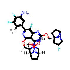 C[C@@H]1Oc2nc(-c3cc(N)c(F)c(F)c3C(F)(F)F)c(F)c3nc(OC[C@@]45CCCN4C[C@H](F)C5)nc(c23)N2C[C@H]3CC[C@@H]([C@@H]12)N3C(=O)OC(C)(C)C